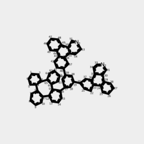 c1ccc2c(c1)-c1ccccc1-c1cccc(-c3cc(-c4ccc5c6ccccc6c6cnccc6c5c4)cc(-c4ccc5c6ccccc6c6cnccc6c5c4)c3)c1-c1ccccc1-2